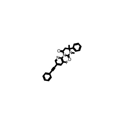 CN1C(=O)N(c2ncc(C#Cc3ccccc3)cc2F)C(=O)CC1(C)c1ccccc1